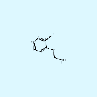 CC(C)(C)CCc1ccccc1F